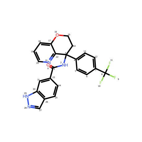 O=C(NC1(c2ccc(C(F)(F)F)cc2)CCOc2cccnc21)c1ccc2cn[nH]c2c1